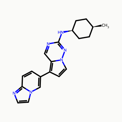 C[C@H]1CC[C@@H](Nc2ncc3c(-c4ccc5nccn5c4)ccn3n2)CC1